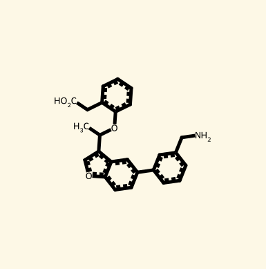 CC(Oc1ccccc1CC(=O)O)c1coc2ccc(-c3cccc(CN)c3)cc12